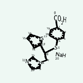 O=C(O)c1ccc(SC(Cn2ccnc2)c2cccs2)cc1.[NaH]